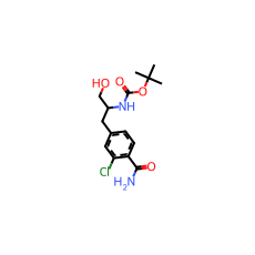 CC(C)(C)OC(=O)NC(CO)Cc1ccc(C(N)=O)c(Cl)c1